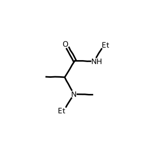 CCNC(=O)C(C)N(C)CC